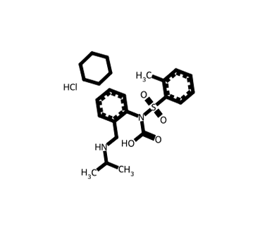 C1CCCCC1.Cc1ccccc1S(=O)(=O)N(C(=O)O)c1ccccc1CNC(C)C.Cl